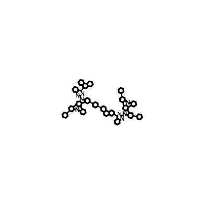 c1ccc(-c2ccc3c(c2)c2c4c5ccccc5n5c6cc(-c7ccccc7)ccc6c(cc2n3-c2nc(-c3ccc6c(ccc7cc(-c8ccc(-c9ccc%10c(c9)c9c%11c%12ccccc%12n%12c%13cc(-c%14ccccc%14)ccc%13c(cc9n%10-c9nc(-c%10cc%13ccccc%13c%13ccccc%10%13)c%10ccccc%10n9)c%11%12)cc8)ccc76)c3)c3ccccc3n2)c45)cc1